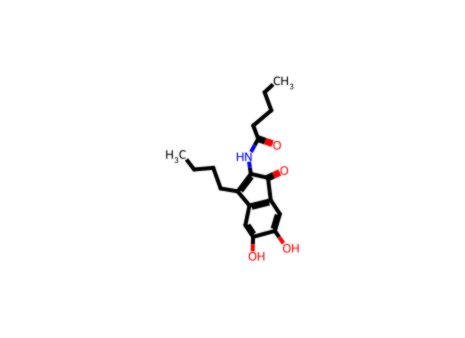 CCCCC(=O)NC1=C(CCCC)c2cc(O)c(O)cc2C1=O